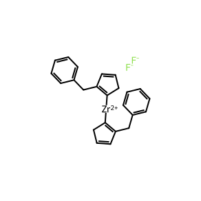 C1=CC(Cc2ccccc2)=[C]([Zr+2][C]2=C(Cc3ccccc3)C=CC2)C1.[F-].[F-]